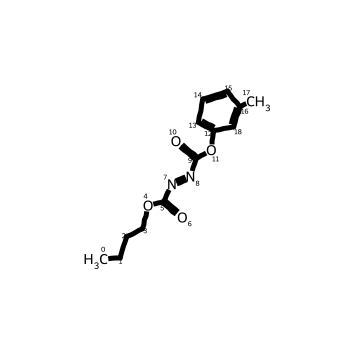 CCCCOC(=O)N=NC(=O)Oc1cccc(C)c1